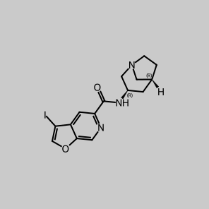 O=C(N[C@@H]1C[C@H]2CCN(C2)C1)c1cc2c(I)coc2cn1